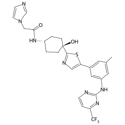 Cc1cc(Nc2nccc(C(F)(F)F)n2)cc(-c2cnc([C@]3(O)CC[C@H](NC(=O)Cn4ccnc4)CC3)s2)c1